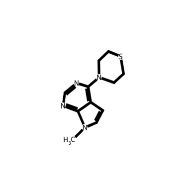 Cn1ccc2c(N3CCSCC3)ncnc21